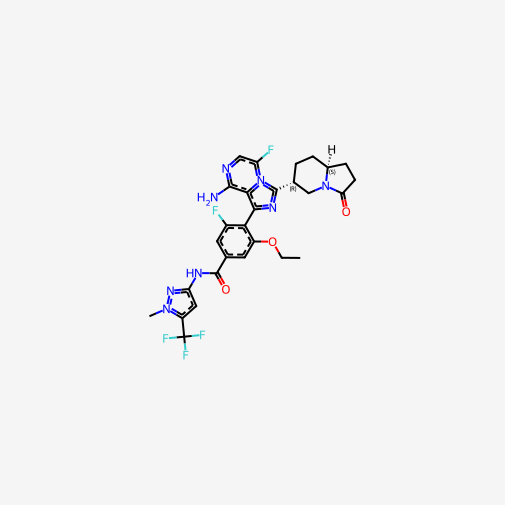 CCOc1cc(C(=O)Nc2cc(C(F)(F)F)n(C)n2)cc(F)c1-c1nc([C@@H]2CC[C@H]3CCC(=O)N3C2)n2c(F)cnc(N)c12